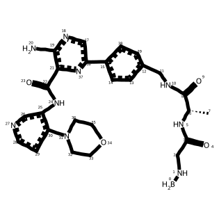 BNCC(=O)N[C@@H](C)C(=O)NCc1ccc(-c2cnc(N)c(C(=O)Nc3cnccc3N3CCOCC3)n2)cc1